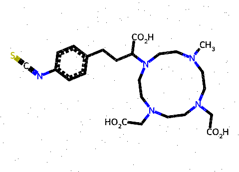 CN1CCN(CC(=O)O)CCN(CC(=O)O)CCN(C(CCc2ccc(N=C=S)cc2)C(=O)O)CC1